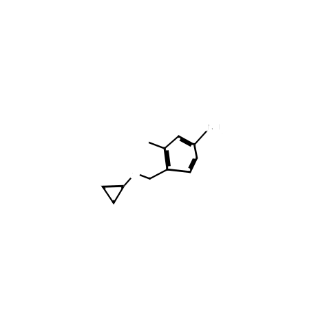 Nc1ccc(COC2CC2)c(F)c1